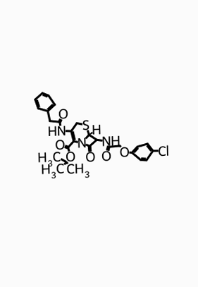 CC(C)(C)OC(=O)C1=C(NC(=O)Cc2ccccc2)CS[C@@H]2C(NC(=O)COc3ccc(Cl)cc3)C(=O)N12